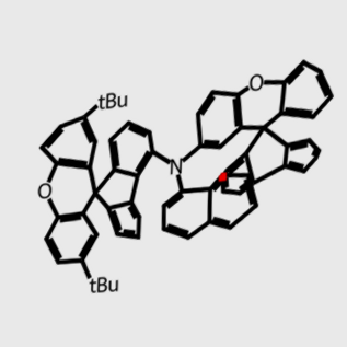 CC(C)(C)c1ccc2c(c1)C1(c3cc(C(C)(C)C)ccc3O2)c2ccccc2-c2c(N(c3ccc4c(c3)C3(c5ccccc5O4)c4ccccc4-c4ccccc43)c3cccc4ccccc34)cccc21